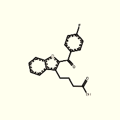 O=C(O)CCCc1c(C(=O)c2ccc(F)cc2)oc2ccccc12